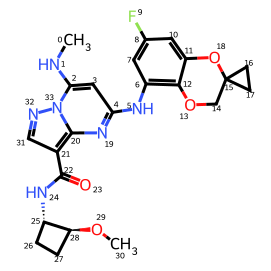 CNc1cc(Nc2cc(F)cc3c2OCC2(CC2)O3)nc2c(C(=O)N[C@H]3CC[C@@H]3OC)cnn12